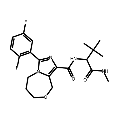 CNC(=O)C(NC(=O)c1nc(-c2cc(F)ccc2F)n2c1COCCC2)C(C)(C)C